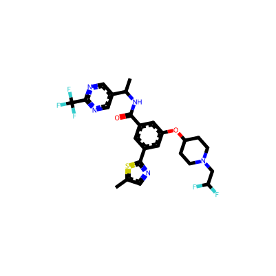 Cc1cnc(-c2cc(OC3CCN(CC(F)F)CC3)cc(C(=O)NC(C)c3cnc(C(F)(F)F)nc3)c2)s1